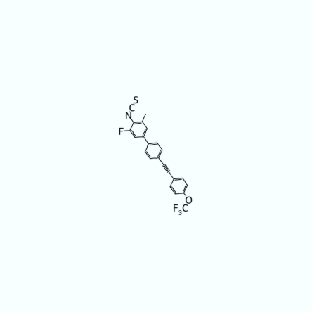 Cc1cc(-c2ccc(C#Cc3ccc(OC(F)(F)F)cc3)cc2)cc(F)c1N=C=S